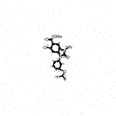 COC(=O)c1cc2c(cc1Cl)n(-c1cccc(OC(F)F)c1)c(=O)n2C(C)C